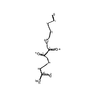 CCCCOC(=O)C(=O)CCC(=O)O